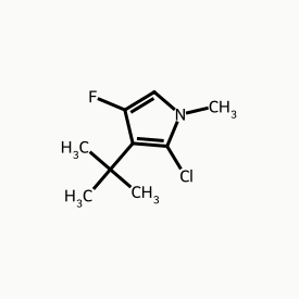 Cn1cc(F)c(C(C)(C)C)c1Cl